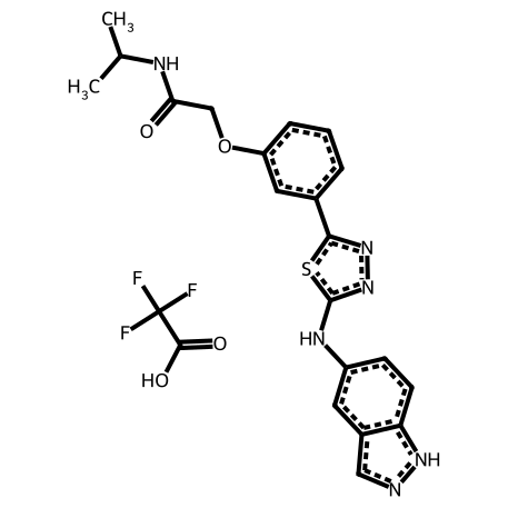 CC(C)NC(=O)COc1cccc(-c2nnc(Nc3ccc4[nH]ncc4c3)s2)c1.O=C(O)C(F)(F)F